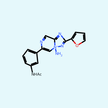 CC(=O)Nc1cccc(C2=C[N+]3(N)N=C(c4ccco4)N=C3C=N2)c1